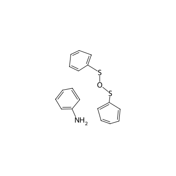 Nc1ccccc1.c1ccc(SOSc2ccccc2)cc1